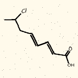 CC(Cl)CC=CC=CC(=O)O